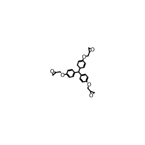 C1=CC(C(c2ccc(OCC3CO3)cc2)c2ccc(OCC3CO3)cc2)CC=C1OCC1CO1